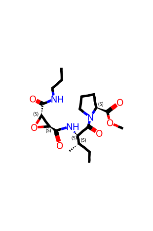 CCCNC(=O)[C@H]1O[C@@H]1C(=O)N[C@H](C(=O)N1CCC[C@H]1C(=O)OC)[C@@H](C)CC